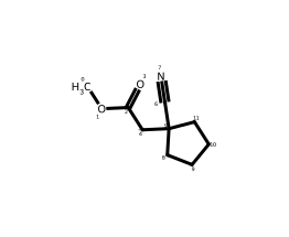 COC(=O)[CH]C1(C#N)CCCC1